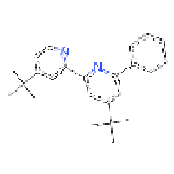 CC(C)(C)c1ccnc(-c2cc(C(C)(C)C)cc(-c3ccccc3)n2)c1